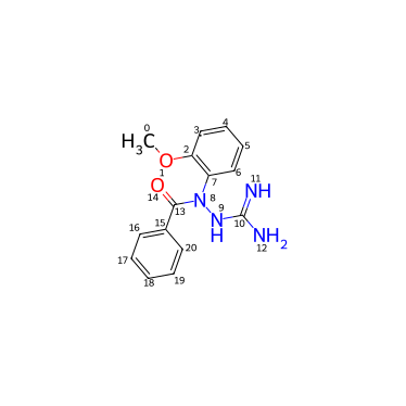 COc1[c]cccc1N(NC(=N)N)C(=O)c1ccccc1